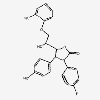 N#Cc1ccccc1OCC(O)C1OC(=O)N(c2ccc(F)cc2)C1c1ccc(O)cc1